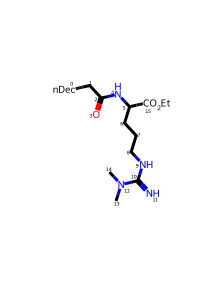 CCCCCCCCCCCC(=O)NC(CCCNC(=N)N(C)C)C(=O)OCC